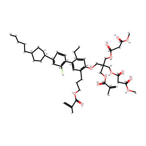 C=C(C)C(=O)OCCCc1cc(-c2ccc(C3CCC(CCCCC)CC3)cc2F)c(CC)cc1OCC(COC(=O)CC(=O)OC)(COC(=O)CC(=O)OC)COC(=O)C(=C)C